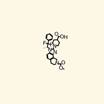 COC(=O)N1CCc2ccc3c(nc(N4CCC(C(=O)O)CC4)n3[C@H](C)C(F)(F)c3ccccc3)c2C1